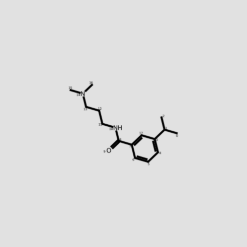 CC(C)c1cccc(C(=O)NCCCN(C)C)c1